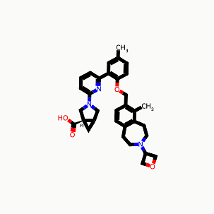 Cc1ccc(OCc2ccc3c(c2C)CCN(C2COC2)CC3)c(-c2cccc(N3CC4C[C@]4(C(=O)O)C3)n2)c1